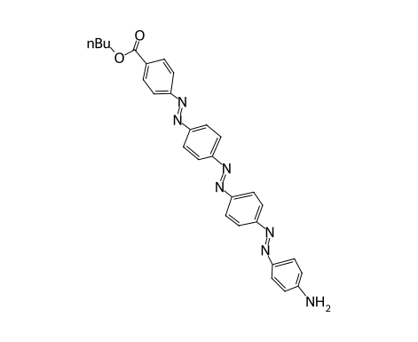 CCCCOC(=O)c1ccc(N=Nc2ccc(N=Nc3ccc(N=Nc4ccc(N)cc4)cc3)cc2)cc1